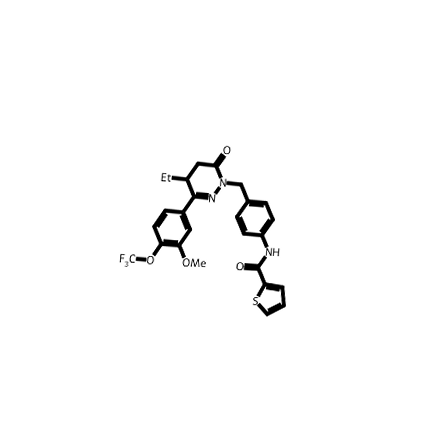 CCC1CC(=O)N(Cc2ccc(NC(=O)c3cccs3)cc2)N=C1c1ccc(OC(F)(F)F)c(OC)c1